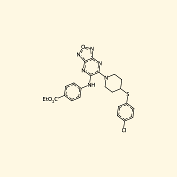 CCOC(=O)c1ccc(Nc2nc3nonc3nc2N2CCC(Sc3ccc(Cl)cc3)CC2)cc1